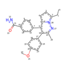 CCc1ccc2c(-c3ccc(C(N)=O)cc3)c(-c3ccc(OC)cc3)c(C)nn12